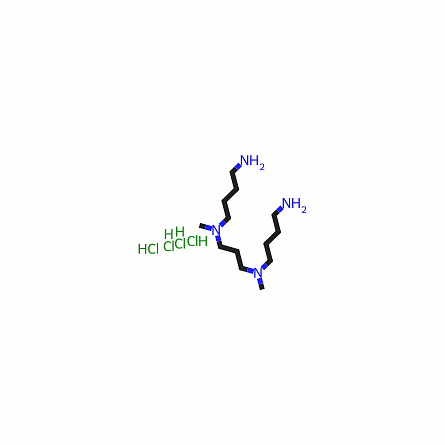 CN(CCCCN)CCCN(C)CCCCN.Cl.Cl.Cl.Cl